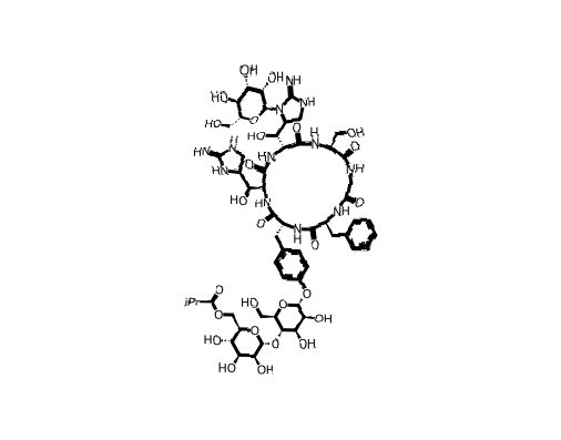 CC(C)C(=O)OC[C@H]1O[C@H](O[C@H]2[C@H](O)[C@H](O)[C@@H](Oc3ccc(C[C@H]4NC(=O)[C@H](Cc5ccccc5)NC(=O)CNC(=O)[C@H](CO)NC(=O)[C@@H](C(O)C5CNC(=N)N5[C@H]5O[C@H](CO)[C@@H](O)[C@H](O)[C@@H]5O)NC(=O)[C@H](C(O)C5CNC(=N)N5)NC4=O)cc3)O[C@@H]2CO)[C@@H](O)[C@@H](O)[C@@H]1O